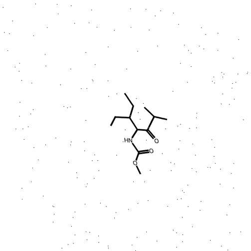 CCC(CC)C(NC(=O)OC)C(=O)C(C)C